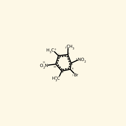 Cc1c(C)c([N+](=O)[O-])c(Br)c(C)c1[N+](=O)[O-]